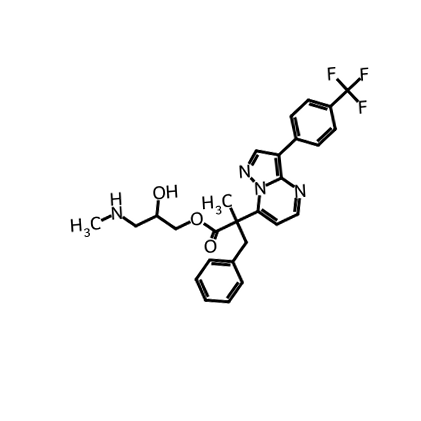 CNCC(O)COC(=O)C(C)(Cc1ccccc1)c1ccnc2c(-c3ccc(C(F)(F)F)cc3)cnn12